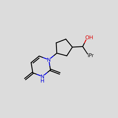 C=C1C=CN(C2CCC(C(O)C(C)C)C2)C(=C)N1